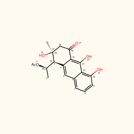 CC(=O)O[C@H](C)[C@@H]1c2cc3cccc(O)c3c(O)c2C(=O)C[C@]1(C)O